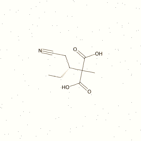 CC[C@H](CC#N)C(C)(C(=O)O)C(=O)O